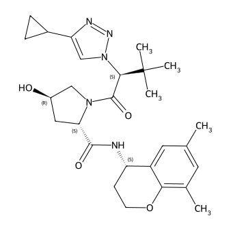 Cc1cc(C)c2c(c1)[C@@H](NC(=O)[C@@H]1C[C@@H](O)CN1C(=O)[C@@H](n1cc(C3CC3)nn1)C(C)(C)C)CCO2